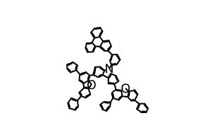 c1ccc(-c2ccc3oc4c(-c5ccc6c(c5)c5cc(-c7cc(-c8ccccc8)cc8c7oc7ccc(-c9ccccc9)cc78)ccc5n6-c5cccc(-c6ccc7c8ccccc8c8ccccc8c7c6)c5)cc(-c5ccccc5)cc4c3c2)cc1